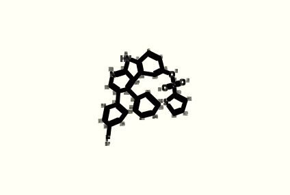 O=S(=O)(Oc1ccc2[nH]c3ncc(-c4ccc(F)cc4)c(-c4ccccc4)c3c2c1)c1cccs1